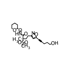 C[C@@](CCc1cc(C#CCCCO)on1)(C(=O)NOC1CCCCO1)S(C)(=O)=O